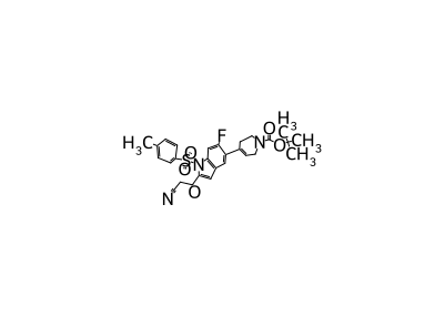 Cc1ccc(S(=O)(=O)n2c(C(=O)CC#N)cc3cc(C4=CCN(C(=O)OC(C)(C)C)CC4)c(F)cc32)cc1